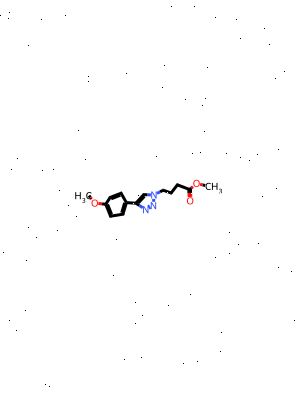 COC(=O)CCCn1cc(-c2ccc(OC)cc2)nn1